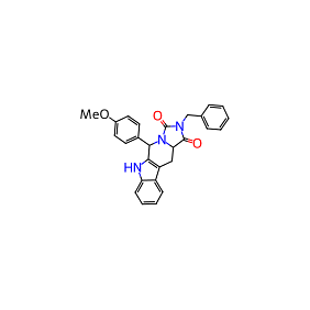 COc1ccc(C2c3[nH]c4ccccc4c3CC3C(=O)N(Cc4ccccc4)C(=O)N32)cc1